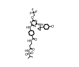 CC(C)S(=O)(=O)NC(=O)CCNC(=O)c1ccc(Nc2nc(NC3(c4ccc(Cl)cc4)CC3)nc(OCC(F)(F)F)n2)cc1